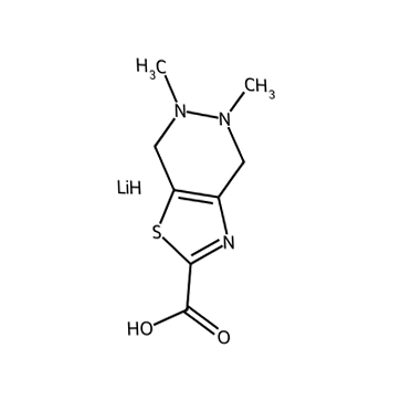 CN1Cc2nc(C(=O)O)sc2CN1C.[LiH]